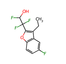 CCc1c(C(F)(F)C(O)F)oc2ccc(F)cc12